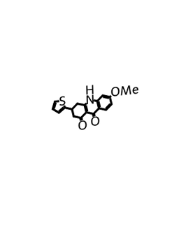 COc1ccc2c(=O)c3c([nH]c2c1)CC(c1cccs1)CC3=O